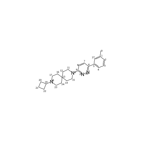 Cc1cccc(-c2ccc(N3CCC4(CC3)CCN(C3CCC3)CC4)nn2)c1